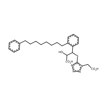 O=C(O)Cn1nnnc1SC(c1ccccc1CCCCCCCCc1ccccc1)C(O)C(=O)O